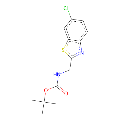 CC(C)(C)OC(=O)NCc1nc2ccc(Cl)cc2s1